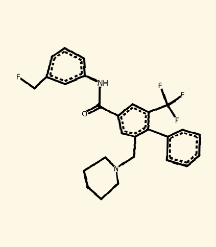 O=C(Nc1cccc(CF)c1)c1cc(CN2CCCCC2)c(-c2ccccc2)c(C(F)(F)F)c1